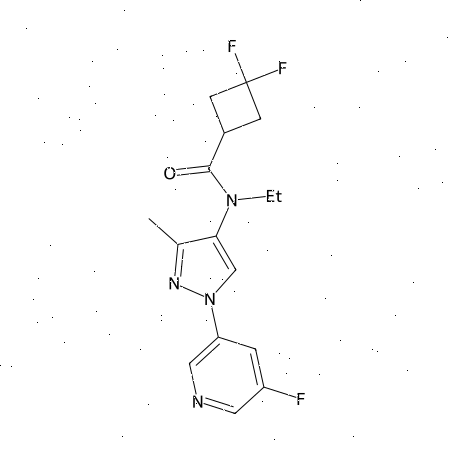 CCN(C(=O)C1CC(F)(F)C1)c1cn(-c2cncc(F)c2)nc1C